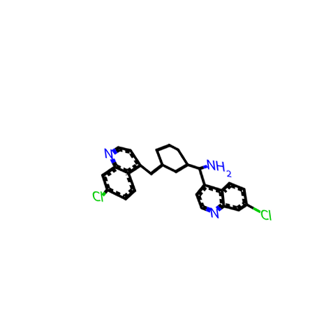 NC(c1ccnc2cc(Cl)ccc12)C1CCCC(Cc2ccnc3cc(Cl)ccc23)C1